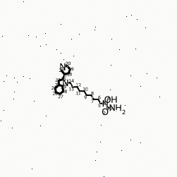 NC(=O)N(O)CCCCCCCCCCn1c(-c2cccnc2)cc2ccccc21